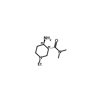 CCN1CC[C@@H](N)[C@H](C(=O)N(C)C)C1